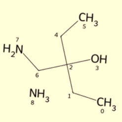 CCC(O)(CC)CN.N